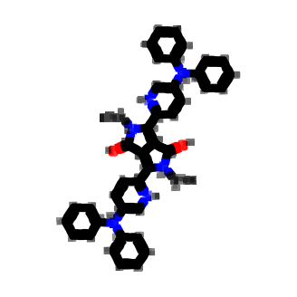 CCCCCCN1C(=O)C2=C(c3ccc(N(c4ccccc4)c4ccccc4)cn3)N(CCCCCC)C(=O)C2=C1c1ccc(N(c2ccccc2)c2ccccc2)cn1